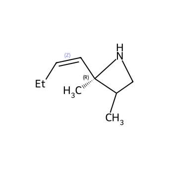 CC/C=C\[C@@]1(C)NCC1C